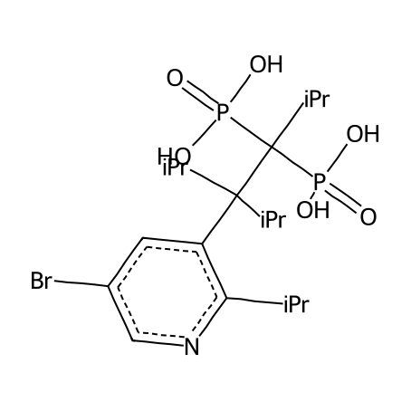 CC(C)c1ncc(Br)cc1C(C(C)C)(C(C)C)C(C(C)C)(P(=O)(O)O)P(=O)(O)O